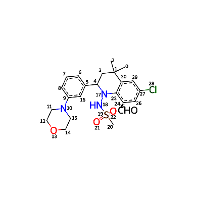 CC1(C)CC(c2cccc(N3CCOCC3)c2)N(NS(C)(=O)=O)c2c(C=O)cc(Cl)cc21